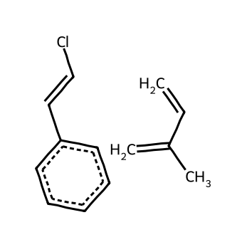 C=CC(=C)C.ClC=Cc1ccccc1